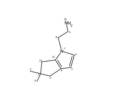 CC1(C)Cc2ccn(CCN)c2C1